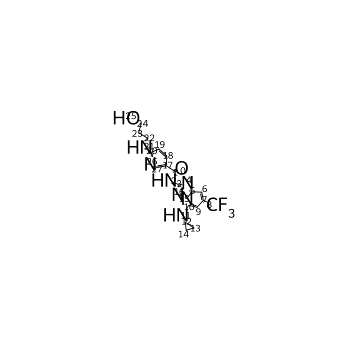 O=C(Nc1nc2cc(C(F)(F)F)cc(NC3CC3)n2n1)c1ccc(NCCCO)nc1